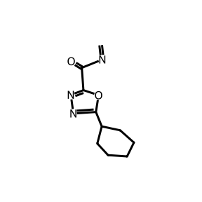 C=NC(=O)c1nnc(C2CCCCC2)o1